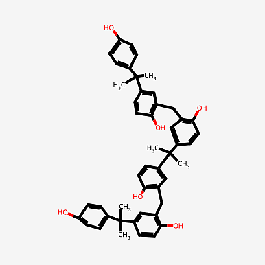 CC(C)(c1ccc(O)cc1)c1ccc(O)c(Cc2cc(C(C)(C)c3ccc(O)c(Cc4cc(C(C)(C)c5ccc(O)cc5)ccc4O)c3)ccc2O)c1